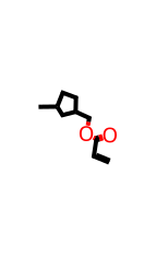 C=CC(=O)OCC1CCC(C)C1